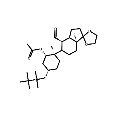 CC(=O)O[C@H]1C[C@@H](O[Si](C)(C)C(C)(C)C)CC[C@]1(C)C1CC[C@@]2(C)C(CCC23OCCO3)[C@@H]1C=O